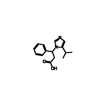 CC(C)c1cncn1C(CC(=O)O)c1ccccc1